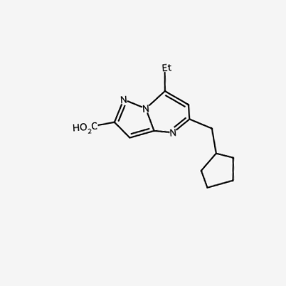 CCc1cc(CC2CCCC2)nc2cc(C(=O)O)nn12